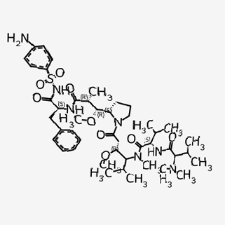 CO[C@H]([C@@H](C)C(=O)N[C@@H](Cc1ccccc1)C(=O)NS(=O)(=O)c1ccc(N)cc1)[C@@H]1CCCN1C(=O)C[C@@H](OC)C(C(C)C)N(C)C(=O)[C@@H](NC(=O)C(C(C)C)N(C)C)C(C)C